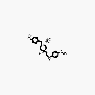 CC(C)Oc1ccc(CN2CCC(O)(CCN(C)c3ccc(OC(C)C)cc3)CC2)cc1.Cl.Cl